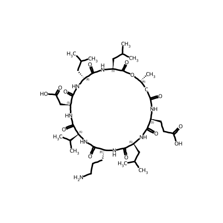 CC(C)C[C@@H]1NC(=O)[C@H](CCC(=O)O)NC(=O)C[C@@H](C)OC(=O)[C@H](CC(C)C)NC(=O)[C@@H](CC(C)C)NC(=O)[C@H](CC(=O)O)NC(=O)[C@H](C(C)C)NC(=O)[C@@H](CCCN)NC1=O